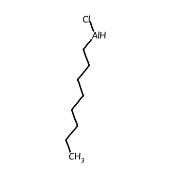 CCCCCCC[CH2][AlH][Cl]